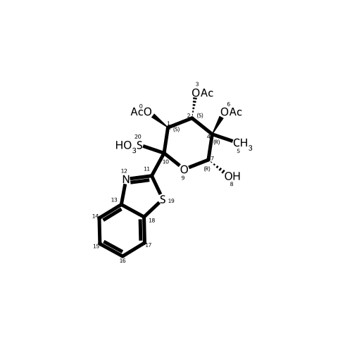 CC(=O)O[C@H]1[C@H](OC(C)=O)[C@@](C)(OC(C)=O)[C@H](O)OC1(c1nc2ccccc2s1)S(=O)(=O)O